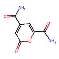 NC(=O)c1cc(C(N)=O)oc(=O)c1